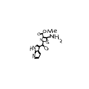 COC(=O)c1nc(C(=O)c2c[nH]c3ncccc23)sc1N